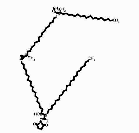 CCCCCCCCCCCCCCCCCCCCCCCC[C@@H](C(=O)ON1C(=O)CCC1=O)[C@H](O)CCCCCCCCCCCCCCCCCC[C@@H]1CC1[C@@H](C)CCCCCCCCCCCCCCCC[C@H](OC)[C@@H](C)CCCCCCCCCCCCCCCCCC